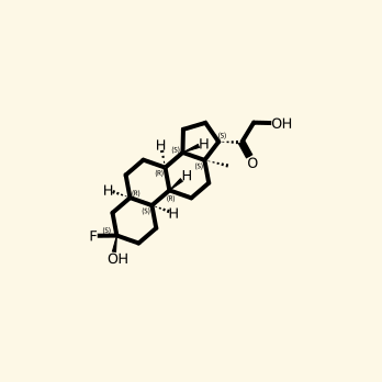 C[C@]12CC[C@H]3[C@@H](CC[C@@H]4C[C@@](O)(F)CC[C@@H]43)[C@@H]1CC[C@@H]2C(=O)CO